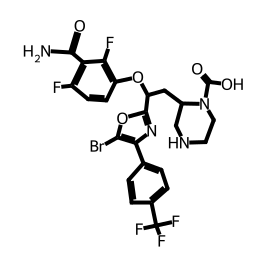 NC(=O)c1c(F)ccc(OC(CC2CNCCN2C(=O)O)c2nc(-c3ccc(C(F)(F)F)cc3)c(Br)o2)c1F